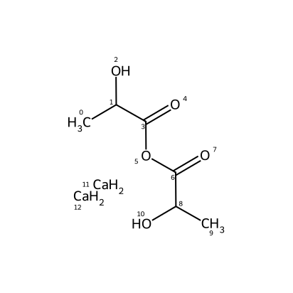 CC(O)C(=O)OC(=O)C(C)O.[CaH2].[CaH2]